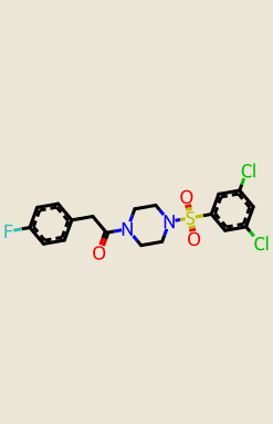 O=C(Cc1ccc(F)cc1)N1CCN(S(=O)(=O)c2cc(Cl)cc(Cl)c2)CC1